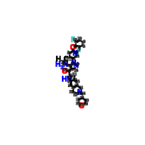 Cc1cc(Oc2c(F)cccc2F)ncc1-n1ncc(C(=O)c2cc3cc4c(cc3[nH]2)CCN(CC2CCOCC2)C4)c1N